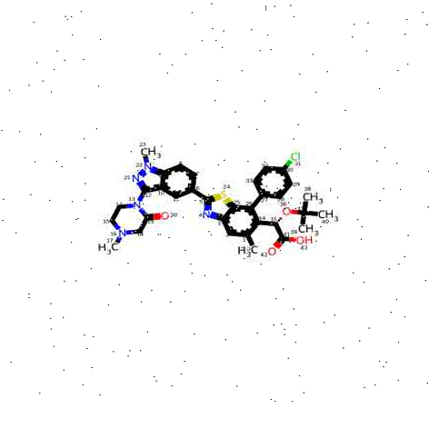 Cc1cc2nc(-c3ccc4c(c3)c(N3CCN(C)CC3=O)nn4C)sc2c(-c2ccc(Cl)cc2)c1[C@H](OC(C)(C)C)C(=O)O